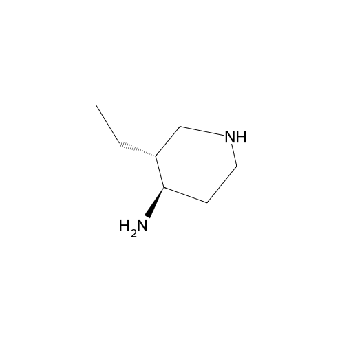 CC[C@@H]1CNCC[C@H]1N